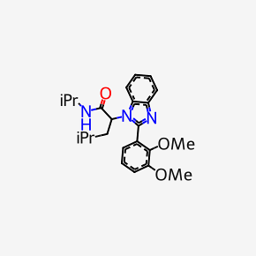 COc1cccc(-c2nc3ccccc3n2C(CC(C)C)C(=O)NC(C)C)c1OC